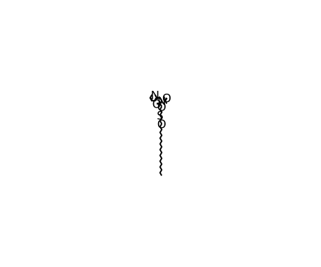 CCCCCCCCCCCCCCCCCCOCCSCCOC(=O)N(Cc1ccccn1)C(C)=O